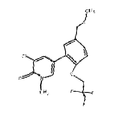 CSCc1ccc(OCC(F)(F)F)c(-c2cc(Cl)c(=O)n(C)c2)c1